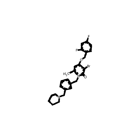 Cc1cc(OCc2ccc(F)cc2F)c(Br)c(=O)n1Cc1cccc(CN2CCCCC2)c1